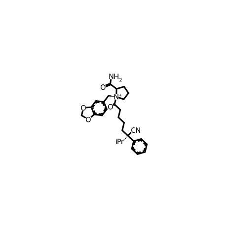 CC(C)[C@@](C#N)(CCCCC(=O)[N@@+]1(Cc2ccc3c(c2)OCO3)CCCC1C(N)=O)c1ccccc1